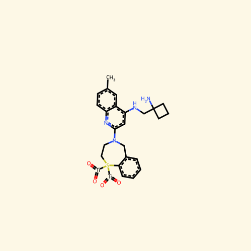 Cc1ccc2nc(N3CC[S]([Ti](=[O])=[O])([Ti](=[O])=[O])c4ccccc4C3)cc(NCC3(N)CCC3)c2c1